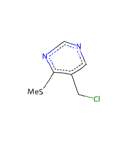 CSc1ncncc1CCl